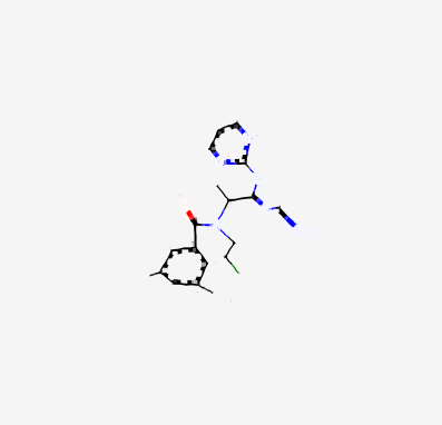 CC(/C(=N/C=N)Nc1ncccn1)N(CCF)C(=O)c1cc(C(F)(F)F)cc(C(F)(F)F)c1